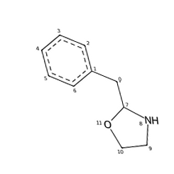 [CH](c1ccccc1)C1NCCO1